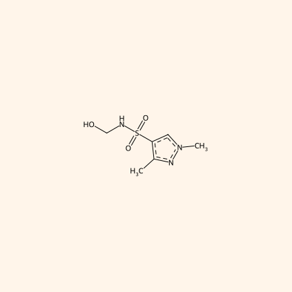 Cc1nn(C)cc1S(=O)(=O)NCO